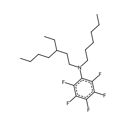 CCCCCCN(CCC(CC)CCCC)c1c(F)c(F)c(F)c(F)c1F